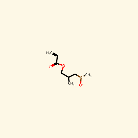 C=CC(=O)OCC(C)C[S+](C)[O-]